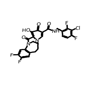 O=C(NCc1ccc(F)c(Cl)c1F)c1cn2c(c(O)c1=O)C(=O)N1CC2CCc2cc(F)c(F)cc21